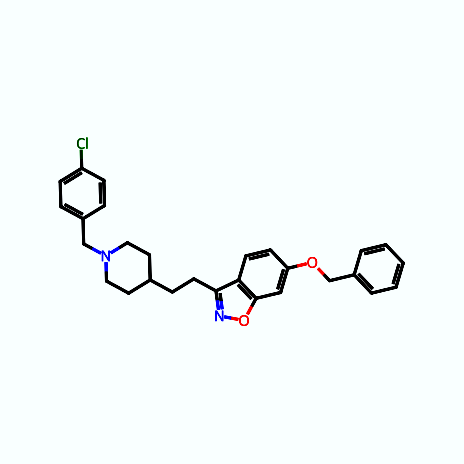 Clc1ccc(CN2CCC(CCc3noc4cc(OCc5ccccc5)ccc34)CC2)cc1